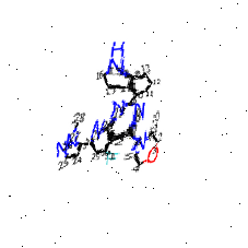 C[C@@H]1COCCN1c1nc(-c2cccc3[nH]ccc23)nc2nc(-c3ccnn3C)cc(F)c12